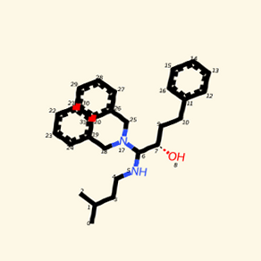 CC(C)CCNC([C@@H](O)CCc1ccccc1)N(Cc1ccccc1)Cc1ccccc1